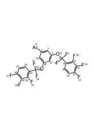 CC(=O)c1cc(OC(F)(F)c2ccc(F)c(F)c2F)cc(OC(F)(F)c2ccc(F)c(F)c2F)c1